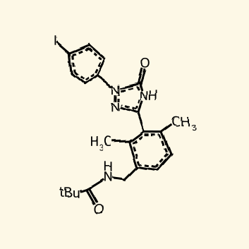 Cc1ccc(CNC(=O)C(C)(C)C)c(C)c1-c1nn(-c2ccc(I)cc2)c(=O)[nH]1